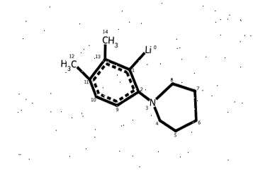 [Li][c]1c(N2CCCCC2)ccc(C)c1C